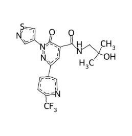 CC(C)(O)CNC(=O)c1cc(-c2ccc(C(F)(F)F)nc2)nn(-c2cnsc2)c1=O